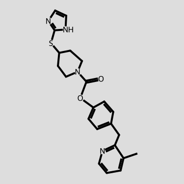 Cc1cccnc1Cc1ccc(OC(=O)N2CCC(Sc3ncc[nH]3)CC2)cc1